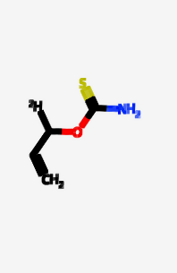 [2H]C(C=C)OC(N)=S